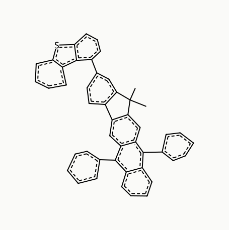 CC1(C)c2cc(-c3cccc4sc5ccccc5c34)ccc2-c2cc3c(-c4ccccc4)c4ccccc4c(-c4ccccc4)c3cc21